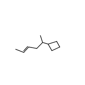 CC=CCC(C)C1CCC1